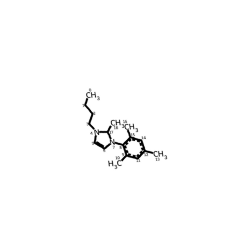 CCCCN1C=CN(c2c(C)cc(C)cc2C)C1C